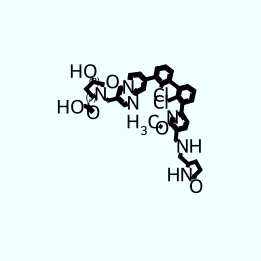 COc1nc(-c2cccc(-c3cccc(-c4ccn5c(=O)c(CN6C[C@H](O)C[C@H]6C(=O)O)cnc5c4)c3Cl)c2Cl)ccc1CNCC1CCC(=O)N1